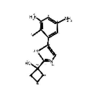 Cc1c(N)cc(N)cc1-c1cnc(C2(O)CCC2)s1